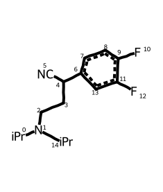 CC(C)N(CCC(C#N)c1ccc(F)c(F)c1)C(C)C